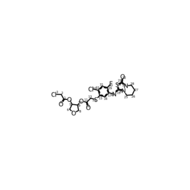 O=C(CCl)OC1COCC1OC(=O)CSc1cc(N=c2sc(=O)n3n2CCCC3)c(F)cc1Cl